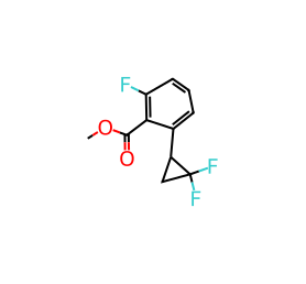 COC(=O)c1c(F)cccc1C1CC1(F)F